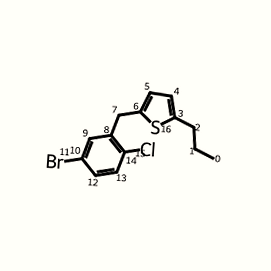 CCCc1ccc(Cc2cc(Br)ccc2Cl)s1